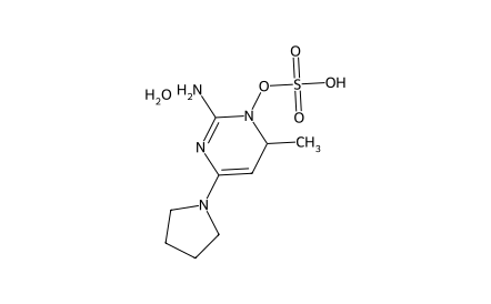 CC1C=C(N2CCCC2)N=C(N)N1OS(=O)(=O)O.O